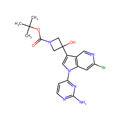 CC(C)(C)OC(=O)N1CC(O)(c2cn(-c3ccnc(N)n3)c3cc(Br)ncc23)C1